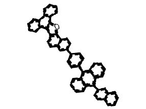 c1ccc2cc(-c3c4ccccc4c(-c4ccc(-c5ccc6c(ccc7c6oc6c8ccccc8c8ccccc8c76)c5)cc4)c4ccccc34)ccc2c1